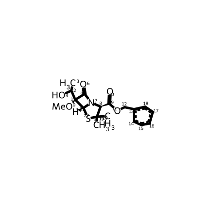 CO[C@@]1(C(C)O)C(=O)N2[C@@H](C(=O)OCc3ccccc3)C(C)(C)S[C@@H]21